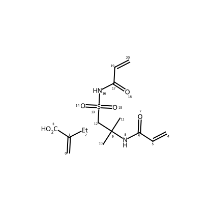 C=C(CC)C(=O)O.C=CC(=O)NC(C)(C)CS(=O)(=O)NC(=O)C=C